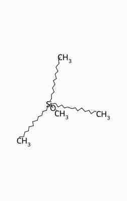 CCCCCCCCCCCCCC[Si](CCCCCCCCCCCCCC)(CCCCCCCCCCCCCC)OCC